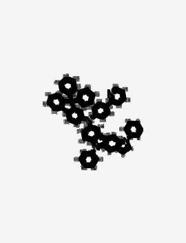 c1ccc(-n2ccc3cc4c(cc32)c2cc(N(c3ccc(-c5ccccn5)cc3)c3ccc5c(c3)C(c3ccccc3)(c3ccccc3)c3ccccc3-5)ccc2n4-c2ccccc2)cc1